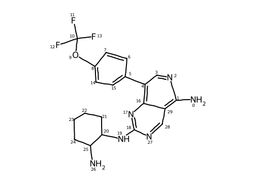 Nc1ncc(-c2ccc(OC(F)(F)F)cc2)c2nc(NC3CCCCC3N)ncc12